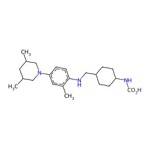 Cc1cc(N2CC(C)CC(C)C2)ccc1NCC1CCC(NC(=O)O)CC1